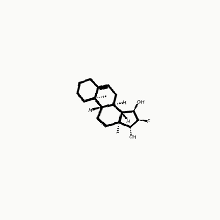 C[C@]12CC[C@H]3[C@@H](CC=C4CCCC[C@@]43C)[C@@H]1[C@@H](O)[C@@H](F)[C@@H]2O